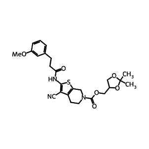 COc1cccc(CCC(=O)Nc2sc3c(c2C#N)CCN(C(=O)OCC2COC(C)(C)O2)C3)c1